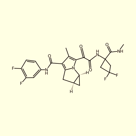 CNC(=O)C1(NC(=O)C(=O)c2c(C)c(C(=O)Nc3ccc(F)c(F)c3)c3n2[C@H]2C[C@H]2C3)CC(F)(F)C1